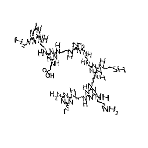 CCSc1nc(N)nc(NCCNc2nc(NCCN)nc(NCCNc3nc(NCCS)nc(NCCNc4ncnc(NCCNc5nc(NCCNc6nc(C)nc(N)n6)nc(NCCC(=O)O)n5)n4)n3)n2)n1